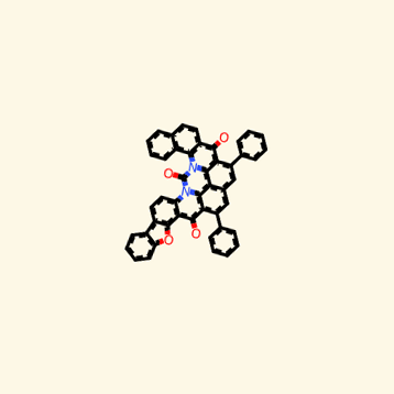 O=c1c2ccc3ccccc3c2n2c(=O)n3c4ccc5c6ccccc6oc5c4c(=O)c4c(-c5ccccc5)cc5cc(-c6ccccc6)c1c2c5c43